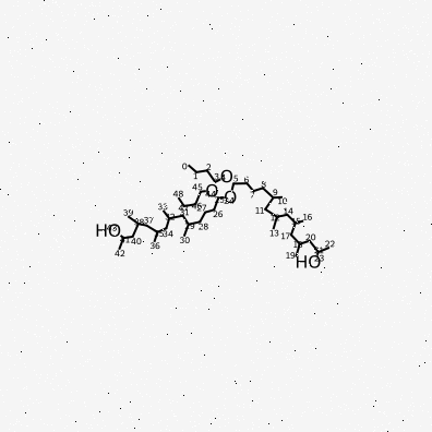 CCCCOC(CCCC(C)CC(C)CC(C)CC(C)CC(C)O)OC(CCCC(C)CC(C)CC(C)CC(C)CC(C)O)OCCCC